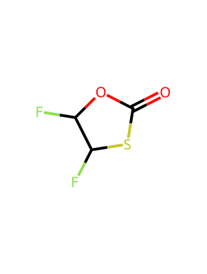 O=C1OC(F)C(F)S1